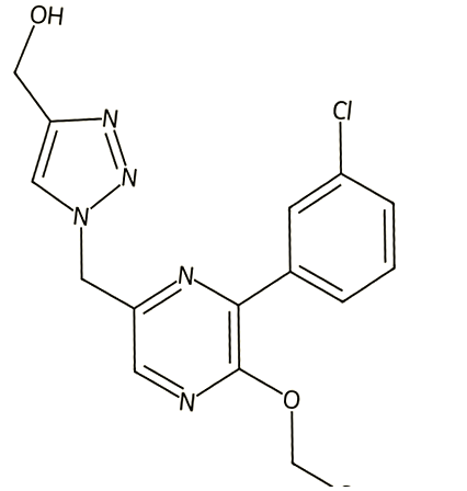 CCOc1ncc(Cn2cc(CO)nn2)nc1-c1cccc(Cl)c1